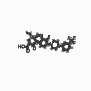 CCn1cc(C(=O)O)c(=O)c2c3ccc(N4CCN(c5cccc(C(F)(F)F)c5)CC4)c(F)c3ncc21